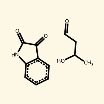 CC(O)CC=O.O=C1Nc2ccccc2C1=O